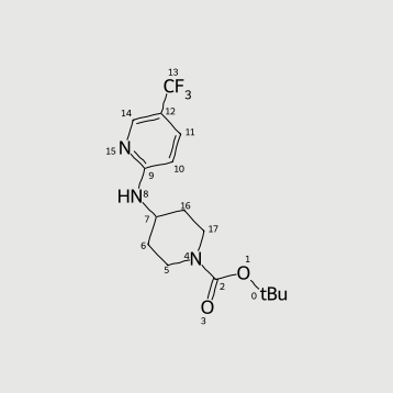 CC(C)(C)OC(=O)N1CCC(Nc2ccc(C(F)(F)F)cn2)CC1